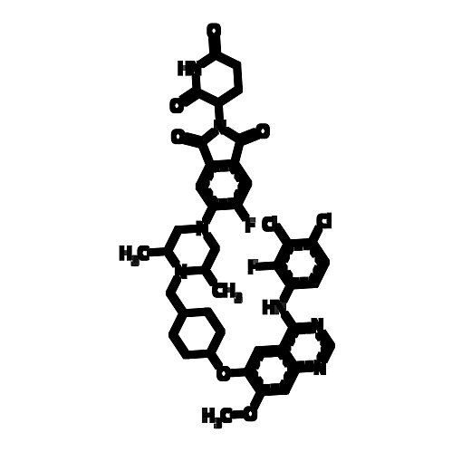 COc1cc2ncnc(Nc3ccc(Cl)c(Cl)c3F)c2cc1OC1CCC(CN2C(C)CN(c3cc4c(cc3F)C(=O)N(C3CCC(=O)NC3=O)C4=O)CC2C)CC1